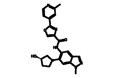 Cc1cc(-c2nc(C(=O)Nc3cc4cnn(C)c4cc3N3CC[C@H](O)C3)co2)ccn1